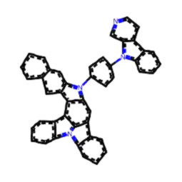 c1ccc2cc3c(cc2c1)c1c2c4ccccc4n4c5ccccc5c(cc1n3-c1ccc(-n3c5ccccc5c5ccncc53)cc1)c24